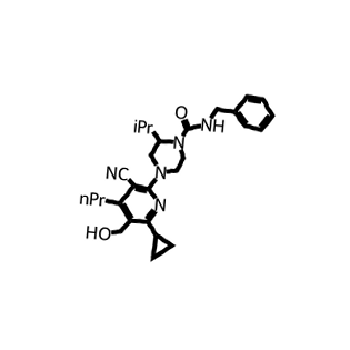 CCCc1c(C#N)c(N2CCN(C(=O)NCc3ccccc3)C(C(C)C)C2)nc(C2CC2)c1CO